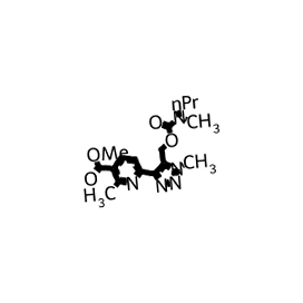 CCCN(C)C(=O)OCc1c(-c2ccc(C(=O)OC)c(C)n2)nnn1C